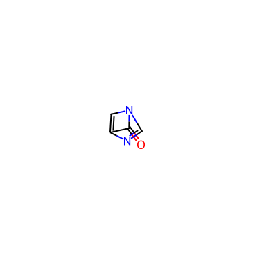 O=C1c2cn1cn2